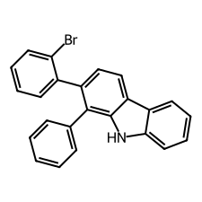 Brc1ccccc1-c1ccc2c([nH]c3ccccc32)c1-c1ccccc1